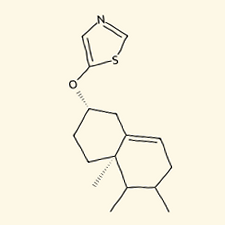 CC1CC=C2C[C@@H](Oc3cncs3)CC[C@]2(C)C1C